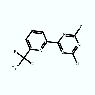 CC(F)(F)c1cccc(-c2nc(Cl)nc(Cl)n2)n1